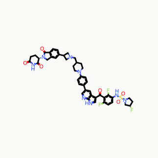 O=C1CC[C@H](N2Cc3cc(C4CN(CC5CCN(c6ccc(-c7cnc8[nH]cc(C(=O)c9c(F)ccc(NS(=O)(=O)N%10CC[C@@H](F)C%10)c9F)c8c7)cc6)CC5)C4)ccc3C2=O)C(=O)N1